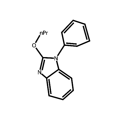 CCCOc1nc2ccccc2n1-c1ccccc1